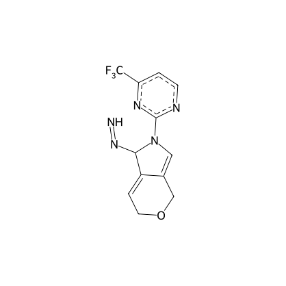 N=NC1C2=CCOCC2=CN1c1nccc(C(F)(F)F)n1